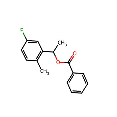 Cc1ccc(F)cc1C(C)OC(=O)c1ccccc1